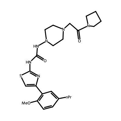 CCCc1ccc(OC)c(-c2csc(NC(=O)NN3CCN(CC(=O)N4CCCC4)CC3)n2)c1